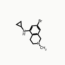 CN1CCc2c(cc(Br)cc2NC2CC2)C1